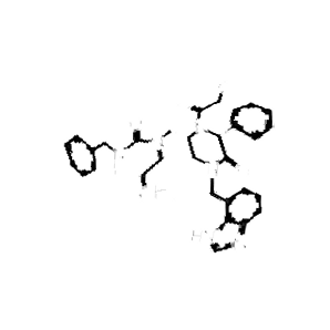 CCCN(C[C@H]1CN(Cc2cccc3nc[nH]c23)C(=O)[C@H](c2ccccc2)N1C(=O)CC)C(=O)NCc1ccccc1